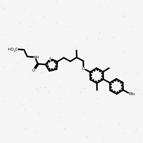 Cc1cc(OCC(C)CCc2ccc(C(=O)NCCC(=O)O)s2)cc(C)c1-c1ccc(C(C)(C)C)cc1